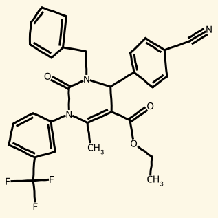 CCOC(=O)C1=C(C)N(c2cccc(C(F)(F)F)c2)C(=O)N(Cc2ccccc2)C1c1ccc(C#N)cc1